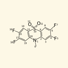 CN1c2cc(F)c(F)cc2S(=O)(=O)c2cc(F)c(F)cc21